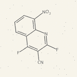 N#Cc1c(F)nc2c([N+](=O)[O-])cccc2c1F